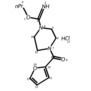 CCCOC(=N)N1CCN(C(=O)c2ccco2)CC1.Cl